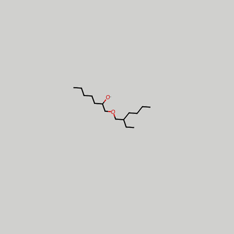 CCCCCC([O])COCC(CC)CCCC